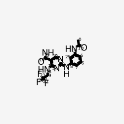 CC(=O)Nc1cccc(Nc2ncc(C(N)=O)c(NCC(F)(F)F)n2)c1